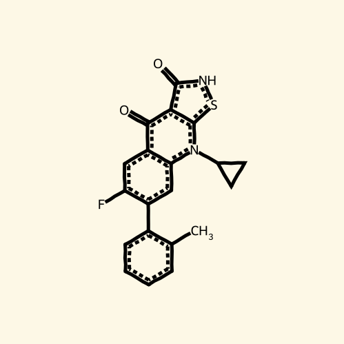 Cc1ccccc1-c1cc2c(cc1F)c(=O)c1c(=O)[nH]sc1n2C1CC1